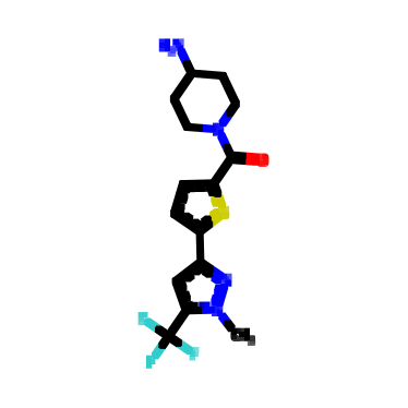 Cn1nc(-c2ccc(C(=O)N3CCC(N)CC3)s2)cc1C(F)(F)F